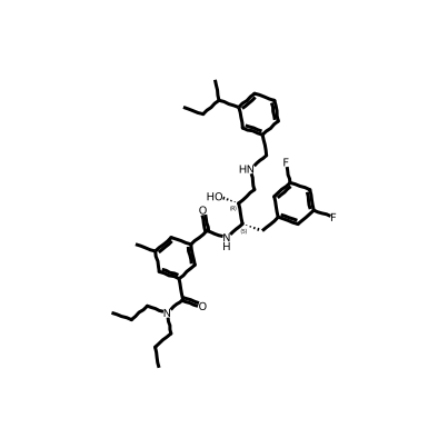 CCCN(CCC)C(=O)c1cc(C)cc(C(=O)N[C@@H](Cc2cc(F)cc(F)c2)[C@H](O)CNCc2cccc(C(C)CC)c2)c1